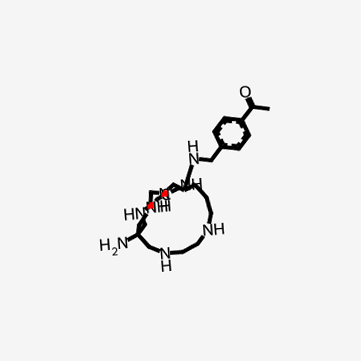 CC(=O)c1ccc(CNC2CNCCNCC3(N)CNCCNCCC2NCCNC3)cc1